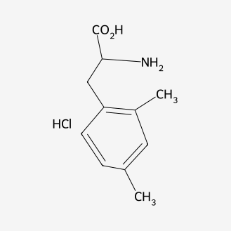 Cc1ccc(CC(N)C(=O)O)c(C)c1.Cl